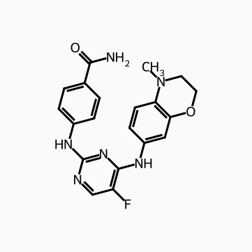 CN1CCOc2cc(Nc3nc(Nc4ccc(C(N)=O)cc4)ncc3F)ccc21